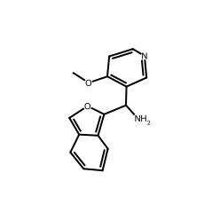 COc1ccncc1C(N)c1occ2ccccc12